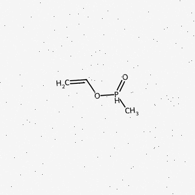 C=CO[PH](C)=O